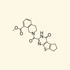 COC(=O)c1cccc2c1CN(C(=O)c1nc3sc4c(c3c(=O)[nH]1)CCC4)CC2